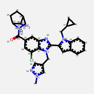 Cn1cc(Cn2c(-c3cc4ccccc4n3CC3CC3)nc3cc(C(=O)N4CC5CCC4[C@@H]5N)cc(Cl)c32)cn1